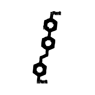 CCCCCc1ccc(CCc2ccc(-c3ccc(CCCCC)cn3)cc2)cc1